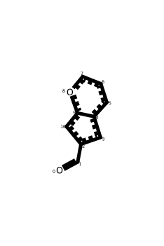 O=Cc1cc2cccoc-2c1